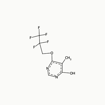 Cc1c(O)ncnc1OCC(F)(F)C(F)(F)F